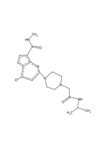 CNC(=O)c1csc2c(Cl)cc(N3CCN(CC(=O)NC(C)C)CC3)nc12